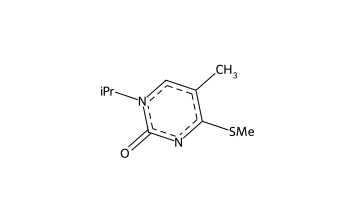 CSc1nc(=O)n(C(C)C)cc1C